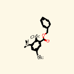 CC(=O)Oc1c(C(=O)OCc2ccccc2)cc(C(C)(C)C)cc1[SiH](C)C